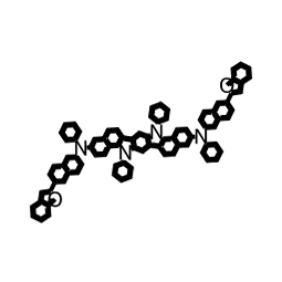 c1ccc(N(c2ccc3cc(-c4cc5ccccc5o4)ccc3c2)c2ccc3c(ccc4c5cc6c(cc5n(-c5ccccc5)c34)c3ccc4cc(N(c5ccccc5)c5ccc7cc(-c8cc9ccccc9o8)ccc7c5)ccc4c3n6-c3ccccc3)c2)cc1